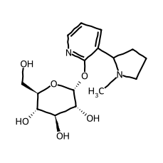 CN1CCCC1c1cccnc1O[C@H]1O[C@H](CO)[C@@H](O)[C@H](O)[C@H]1O